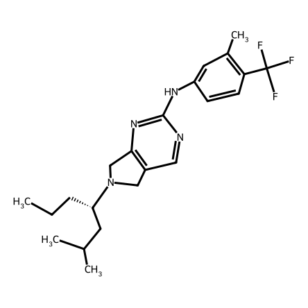 CCC[C@@H](CC(C)C)N1Cc2cnc(Nc3ccc(C(F)(F)F)c(C)c3)nc2C1